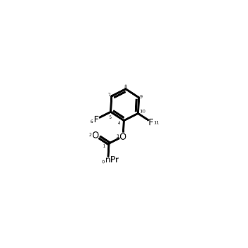 CCCC(=O)Oc1c(F)cccc1F